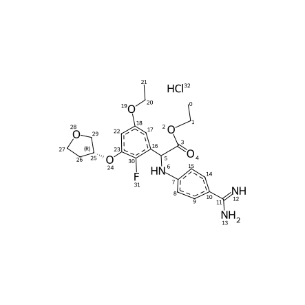 CCOC(=O)C(Nc1ccc(C(=N)N)cc1)c1cc(OCC)cc(O[C@@H]2CCOC2)c1F.Cl